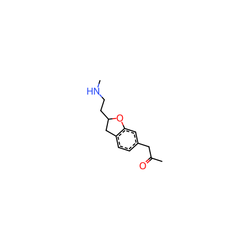 CNCCC1Cc2ccc(CC(C)=O)cc2O1